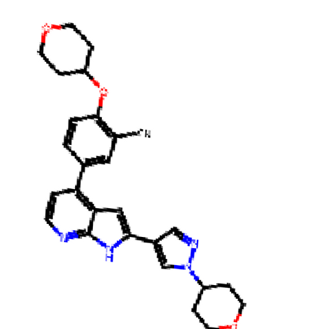 N#Cc1cc(-c2ccnc3[nH]c(-c4cnn(C5CCOCC5)c4)cc23)ccc1OC1CCOCC1